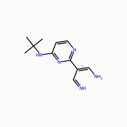 CC(C)(C)Nc1ccnc(/C(C=N)=C/N)n1